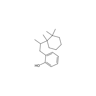 CC(Cc1ccccc1O)C1(C)CCCCC1(C)C